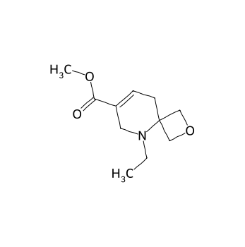 CCN1CC(C(=O)OC)=CCC12COC2